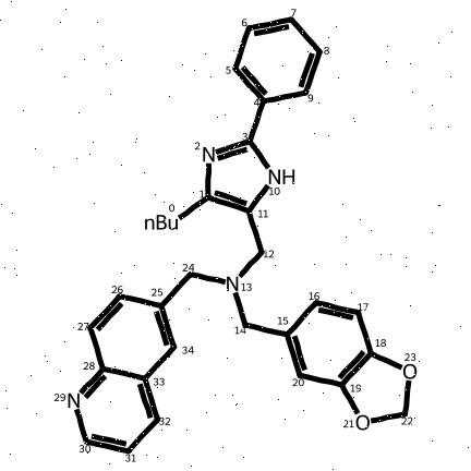 CCCCc1nc(-c2ccccc2)[nH]c1CN(Cc1ccc2c(c1)OCO2)Cc1ccc2ncccc2c1